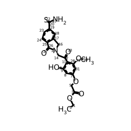 CCOC(=O)COc1cc(O)c(C(=O)CN2Cc3cc(C(N)=S)ccc3C2=O)c(OC)c1